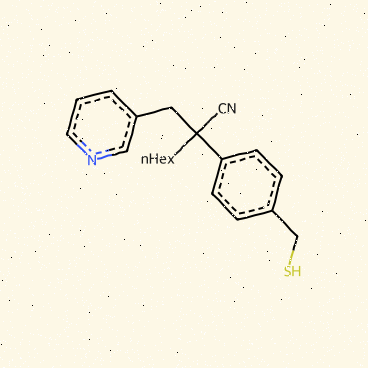 CCCCCCC(C#N)(Cc1cccnc1)c1ccc(CS)cc1